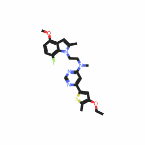 CCOc1cc(-c2cc(N(C)CCn3c(C)cc4c(OC)ccc(F)c43)ncn2)sc1C